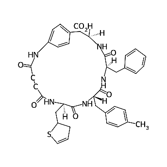 Cc1ccc(C[C@@H]2NC(=O)[C@@H](CC3CC=CS3)NC(=O)CCC(=O)Nc3ccc(cc3)C[C@@H](C(=O)O)NC(=O)[C@@H](Cc3ccccc3)NC2=O)cc1